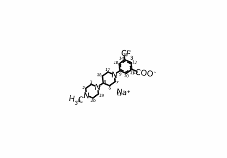 CN1CCN(C2CCN(c3cc(C(=O)[O-])cc(C(F)(F)F)c3)CC2)CC1.[Na+]